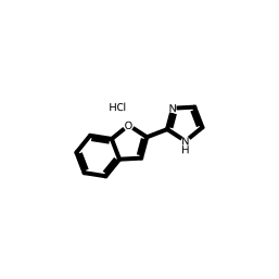 Cl.c1ccc2oc(-c3ncc[nH]3)cc2c1